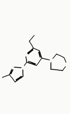 Cc1ccn(-c2cc(N3CCOCC3)cc(CO)n2)n1